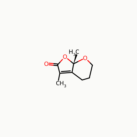 CC1=C2CCCO[C@@]2(C)OC1=O